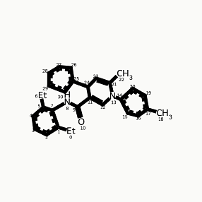 CCc1cccc(CC)c1NC(=O)C1=CN(c2ccc(C)cc2)C(C)=CC1c1ccccc1